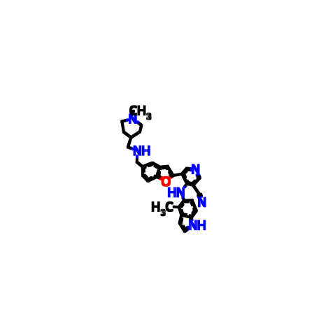 Cc1c(Nc2c(C#N)cncc2-c2cc3cc(CNCC4CCN(C)CC4)ccc3o2)ccc2[nH]ccc12